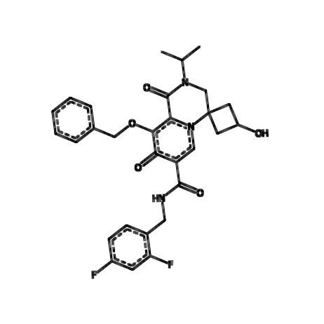 CC(C)N1CC2(CC(O)C2)n2cc(C(=O)NCc3ccc(F)cc3F)c(=O)c(OCc3ccccc3)c2C1=O